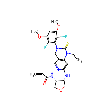 C=CC(=O)N[C@H]1COC[C@H]1Nc1cc2c(cn1)CN(c1c(F)c(OC)cc(OC)c1F)C(=S)N2CC